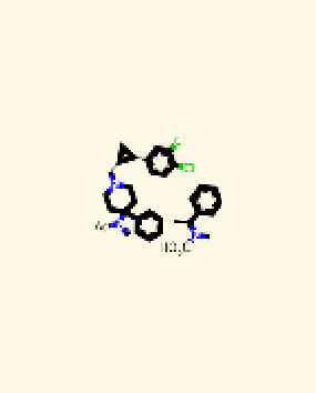 CC(=O)N(C)C1(c2ccccc2)CCN(C[C@@H]2C[C@@H]2c2ccc(Cl)c(Cl)c2)CC1.C[C@@H](c1ccccc1)N(C)C(=O)O